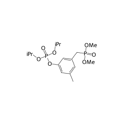 COP(=O)(Cc1cc(C)cc(OP(=O)(OC(C)C)OC(C)C)c1)OC